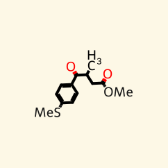 COC(=O)CC(C)C(=O)c1ccc(SC)cc1